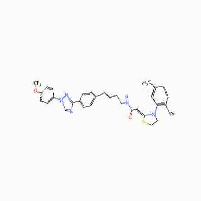 Cc1ccc(C(C)C)c(N2CCS/C2=C\C(=O)NCCCCc2ccc(-c3ncn(-c4ccc(OC(F)(F)F)cc4)n3)cc2)c1